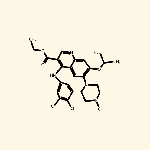 CCOC(=O)c1cnc2cc(OC(C)C)c(N3CCN(C)CC3)cc2c1Nc1ccc(Cl)c(Cl)c1